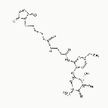 CC(=O)OCc1ccc(O[C@@H]2O[C@H](C(=O)O)C(=O)[C@H](O)[C@H]2O)c(NC(=O)CCNC(=O)CCCCCN2C(=O)C=CC2=O)c1